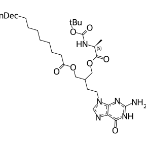 CCCCCCCCCCCCCCCCCC(=O)OCC(CCn1cnc2c(=O)[nH]c(N)nc21)COC(=O)[C@H](C)NC(=O)OC(C)(C)C